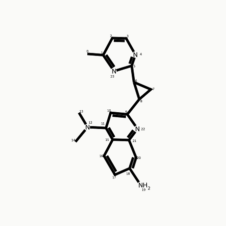 Cc1ccnc(C2CC2c2cc(N(C)C)c3ccc(N)cc3n2)n1